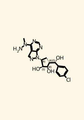 CN(N)c1ncnc2c1cnn2[C@@H]1C[C@H]([C@H](O)c2ccc(Cl)cc2)[C@@H](O)[C@H]1O